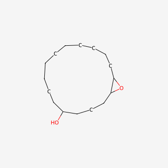 OC1CCCCCCCCCCC2OC2CCC1